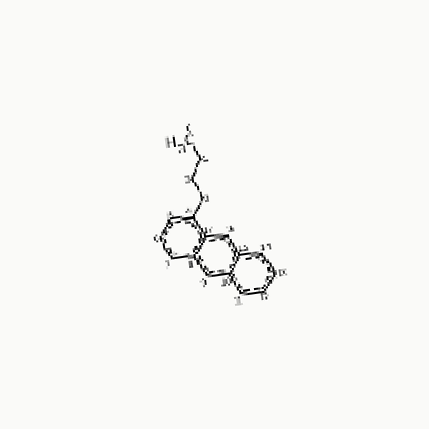 CCCCc1cccc2cc3cc[c]cc3cc12